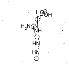 Nc1cc(N2CCN(CCP(=O)(O)O)CC2)nc(NCC2CCC(CNCCCNCC3CCCCC3)CC2)n1